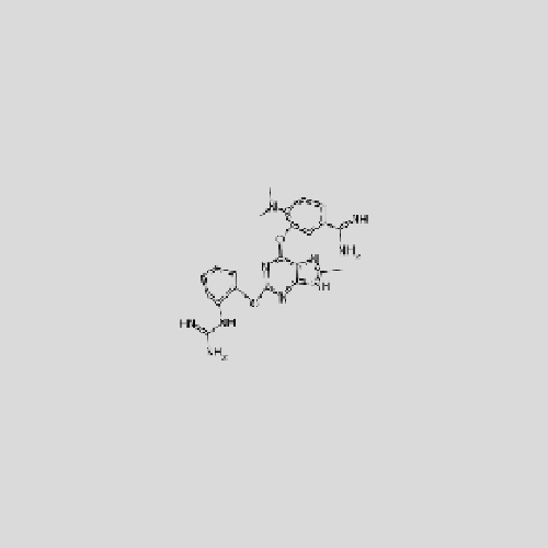 Cc1nc2c(Oc3cc(C(=N)N)ccc3N(C)C)nc(Oc3ccccc3NC(=N)N)nc2[nH]1